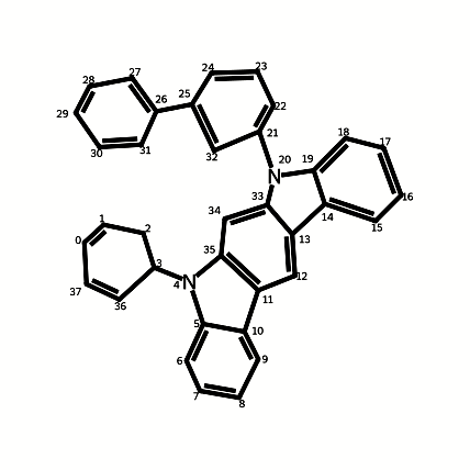 C1=CCC(n2c3ccccc3c3cc4c5ccccc5n(-c5cccc(-c6ccccc6)c5)c4cc32)C=C1